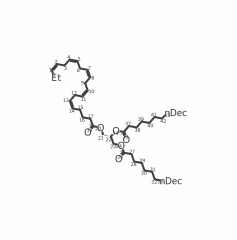 CC/C=C\C/C=C\C/C=C\C/C=C\C/C=C\CCCC(=O)OC[C@@H](COC(=O)CCCCCCCCCCCCCCCC)OC(=O)CCCCCCCCCCCCCCCC